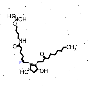 CCCCCCCC(=O)CC[C@@H]1[C@@H](C/C=C\CCCC(=O)NCCCCON(O)O)[C@@H](O)C[C@H]1O